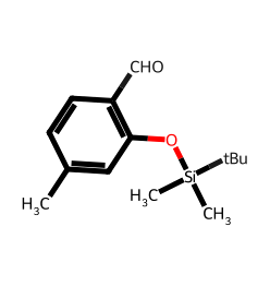 Cc1ccc(C=O)c(O[Si](C)(C)C(C)(C)C)c1